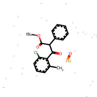 Cc1cccc(Cl)c1C(=O)C(C(=O)OC(C)(C)C)c1ccccc1.O=P